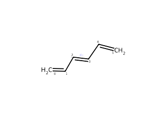 C=C/[C]=C/C=C